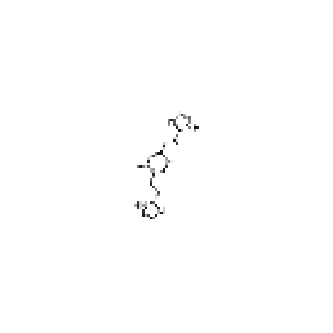 Cc1cc(CSc2ncc[nH]2)c(C)cc1CSc1ncc[nH]1